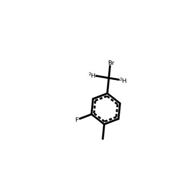 [2H]C([2H])(Br)c1ccc(C)c(F)c1